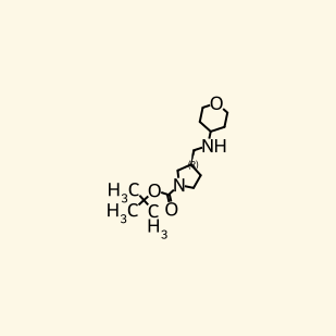 CC(C)(C)OC(=O)N1CC[C@H](CNC2CCOCC2)C1